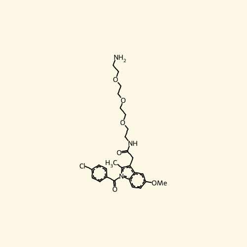 COc1ccc2c(c1)c(CC(=O)NCCOCCOCCOCCN)c(C)n2C(=O)c1ccc(Cl)cc1